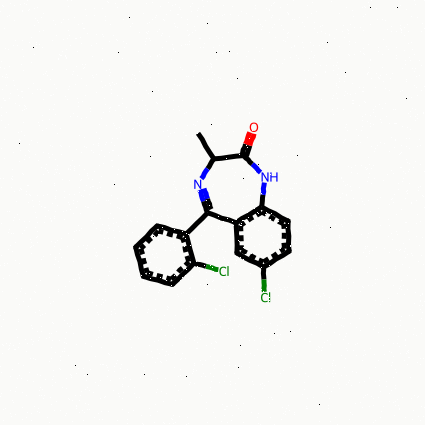 CC1N=C(c2ccccc2Cl)c2cc(Cl)ccc2NC1=O